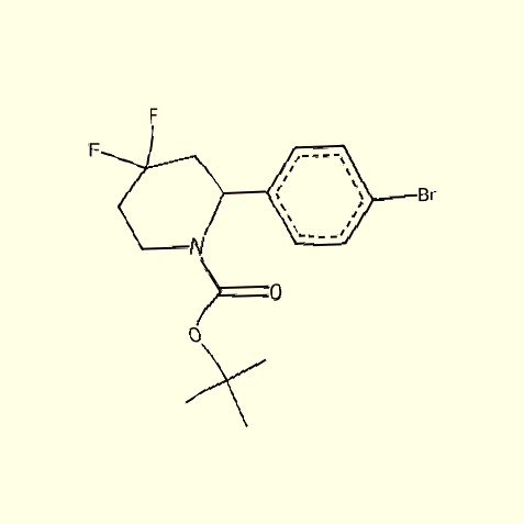 CC(C)(C)OC(=O)N1CCC(F)(F)CC1c1ccc(Br)cc1